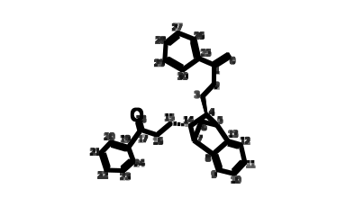 C=C(CC[C@H]1C2CC(c3ccccc32)[C@@H]1CCC(=O)c1ccccc1)c1ccccc1